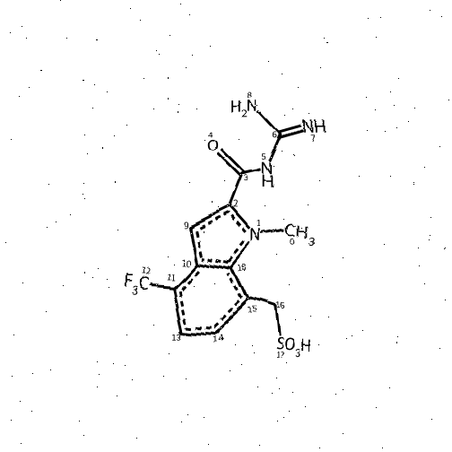 Cn1c(C(=O)NC(=N)N)cc2c(C(F)(F)F)ccc(CS(=O)(=O)O)c21